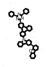 c1ccc(-c2nc(-c3ccccc3)nc(-c3ccc4c5ccc(-n6c7ccccc7c7cc(-c8cccc9c8oc8ccccc89)ccc76)cc5c5ccccc5c4c3)n2)cc1